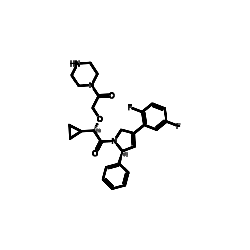 O=C(CO[C@H](C(=O)N1CC(c2cc(F)ccc2F)=C[C@H]1c1ccccc1)C1CC1)N1CCNCC1